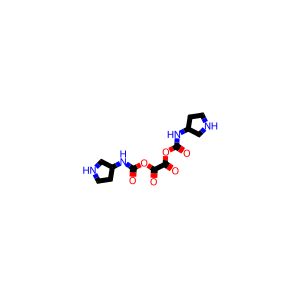 O=C(NC1CCNC1)OC(=O)C(=O)OC(=O)NC1CCNC1